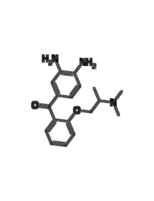 CC(COc1ccccc1C(=O)c1ccc(N)c(N)c1)N(C)C